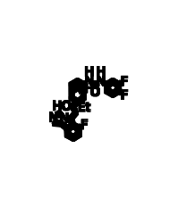 CCC1(C(O)CC2c3c(F)cccc3-c3cncn32)CC2CCC(NC(=O)Nc3ccc(F)c(F)c3)[C@H](C2)C1